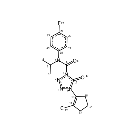 CC(C)N(C(=O)n1nnn(C2=C(Cl)CCC2)c1=O)c1ccc(F)cc1